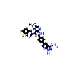 Cc1cnc(NCc2ccc(-c3cnc4[nH]nc(N)c4c3)cc2)c(C(=O)N(C)Cc2ccc(F)c(F)c2)n1